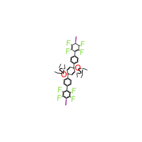 CC[Si](CC)(CC)OC1(c2ccc(C3=C(F)C(F)C(I)C(F)=C3F)cc2)C=CC(O[Si](CC)(CC)CC)(c2ccc(-c3c(F)c(F)c(I)c(F)c3F)cc2)C=C1